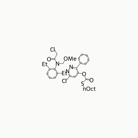 CCCCCCCCSC(=O)Oc1cc(Cl)nnc1-c1ccccc1.CCc1cccc(CC)c1N(COC)C(=O)CCl